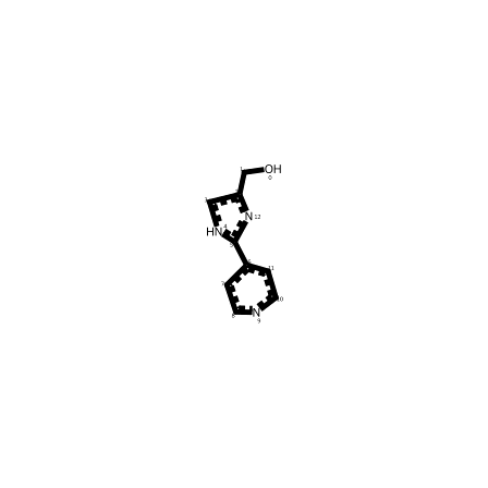 OCc1c[nH]c(-c2ccncc2)n1